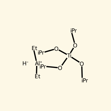 CC(C)[O][Ti]([O]C(C)C)([O]C(C)C)[O]C(C)C.C[CH2][Al+][CH2]C.[H-]